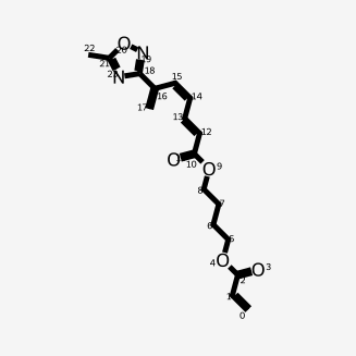 C=CC(=O)OCCCCOC(=O)/C=C/C=C\C(=C)c1noc(C)n1